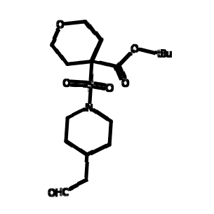 CC(C)(C)OC(=O)C1(S(=O)(=O)N2CCC(CC=O)CC2)CCOCC1